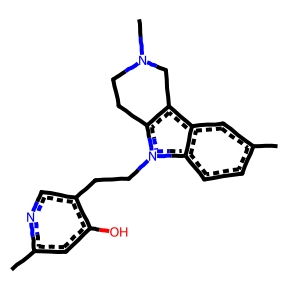 Cc1ccc2c(c1)c1c(n2CCc2cnc(C)cc2O)CCN(C)C1